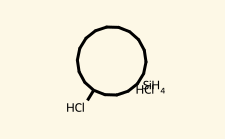 CC1CCCCCCCCCCCCCCCCC1.Cl.Cl.[SiH4]